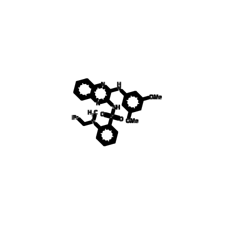 COc1cc(Nc2nc3ccccc3nc2NS(=O)(=O)c2ccccc2N(C)CC(C)C)cc(OC)c1